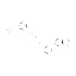 COc1cccc2c1CCN(CC(O)COc1cccc(-c3ccc4ncn(C)c4c3)c1)C2